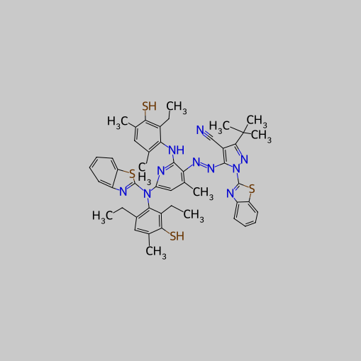 CCc1cc(C)c(S)c(CC)c1Nc1nc(N(c2nc3ccccc3s2)c2c(CC)cc(C)c(S)c2CC)cc(C)c1N=Nc1c(C#N)c(C(C)(C)C)nn1-c1nc2ccccc2s1